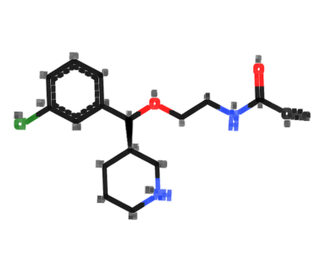 COC(=O)NCCOC(c1cccc(Cl)c1)[C@@H]1CCCNC1